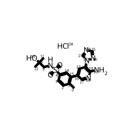 Cc1ccc(S(=O)(=O)NCC(C)(C)O)cc1-c1cnc(N)c(-n2cncn2)c1.Cl